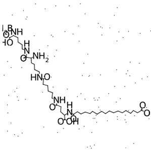 BNC(CCCCNC(=O)C(N)CCCCNC(=O)CCCCCNC(=O)CCC(NC(=O)CCCCCCCCCCCCCCCCC(=O)O)C(=O)O)C(=O)O